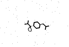 CC(C)C[C@H]1CC[C@H](C(=O)C(C)C)CC1